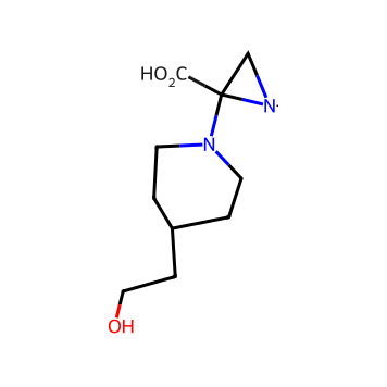 O=C(O)C1(N2CCC(CCO)CC2)C[N]1